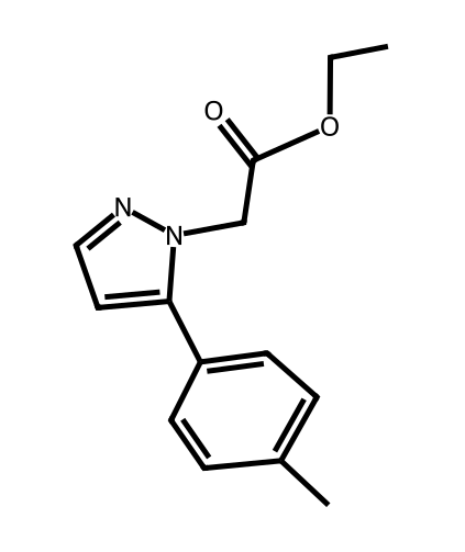 CCOC(=O)Cn1nccc1-c1ccc(C)cc1